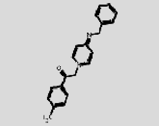 Cc1ccc(C(=O)Cn2ccc(=NCc3ccccc3)cc2)cc1